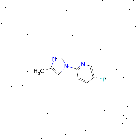 Cc1cn(-c2ccc(F)cn2)cn1